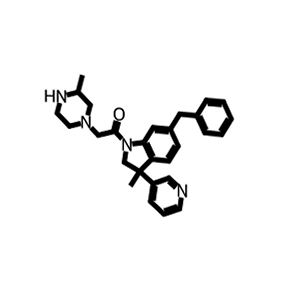 CC1CN(CC(=O)N2CC(C)(c3cccnc3)c3ccc(Cc4ccccc4)cc32)CCN1